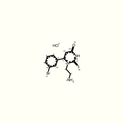 Cl.NCCn1c(-c2cccc(Br)c2)cc(=O)[nH]c1=S